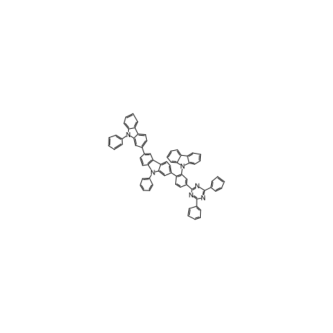 c1ccc(-c2nc(-c3ccccc3)nc(-c3ccc(-c4ccc5c6cc(-c7ccc8c9ccccc9n(-c9ccccc9)c8c7)ccc6n(-c6ccccc6)c5c4)c(-n4c5ccccc5c5ccccc54)c3)n2)cc1